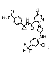 Cc1cc(C(F)(F)F)ccc1NC1CN(c2ncc(Cl)cc2C(=O)NC2(c3ccc(C(=O)O)cc3)CC2)C1